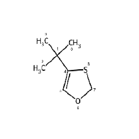 CC(C)(C)C1=COCS1